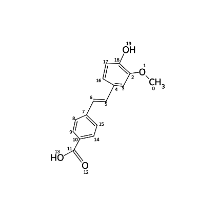 COc1cc(C=Cc2ccc(C(=O)O)cc2)ccc1O